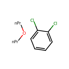 CCCOCCC.Clc1ccccc1Cl